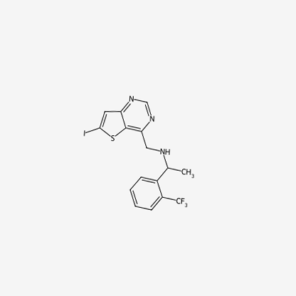 CC(NCc1ncnc2cc(I)sc12)c1ccccc1C(F)(F)F